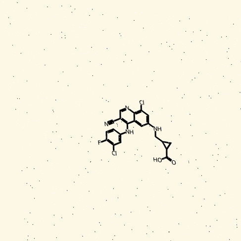 N#Cc1cnc2c(Cl)cc(NCC3CC3C(=O)O)cc2c1Nc1ccc(F)c(Cl)c1